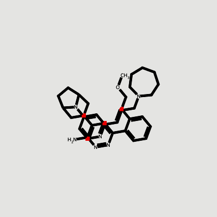 COCOc1ccccc1-c1cc(N2CC3CCC(C2)N3c2ccnc(/C=C/CN3CCCCCC3)c2)c(N)nn1